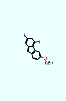 CCCCOc1ccc2c(c1)C1=C(I)CC(I)=CC1=C2